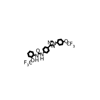 O=C(Nc1ccc(-c2ncn(-c3ccc(OC(F)(F)F)cc3)n2)cc1)Nc1ccccc1OC(F)(F)F